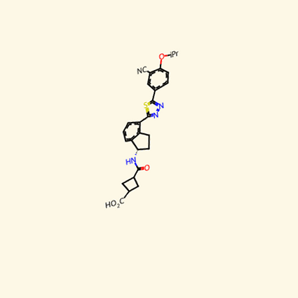 CC(C)Oc1ccc(-c2nnc(-c3cccc4c3CC[C@@H]4NC(=O)C3CC(C(=O)O)C3)s2)cc1C#N